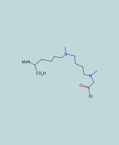 CCC(=O)CN(C)CCCCN(C)CCCCC(NC)C(=O)O